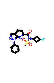 CS(=O)(=O)N(C(=O)c1ccc2cnn(-c3ccccc3)c2n1)C1CC(F)C1